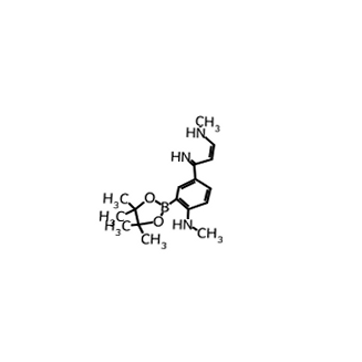 CN/C=C\C(=N)c1ccc(NC)c(B2OC(C)(C)C(C)(C)O2)c1